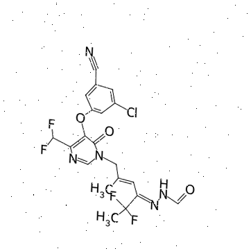 C/C(=C\C(=N/NC=O)C(C)(F)F)Cn1cnc(C(F)F)c(Oc2cc(Cl)cc(C#N)c2)c1=O